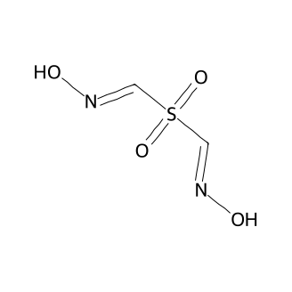 O=S(=O)(C=NO)C=NO